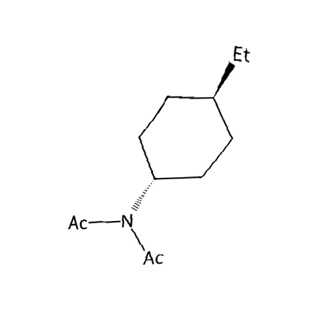 CC[C@H]1CC[C@H](N(C(C)=O)C(C)=O)CC1